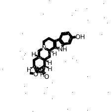 CO[C@H]1[C@@H]2CC(=O)[C@H]1[C@H]1C[C@@H]3c4[nH]c5cc(O)ccc5c4CCN3C[C@H]1C2